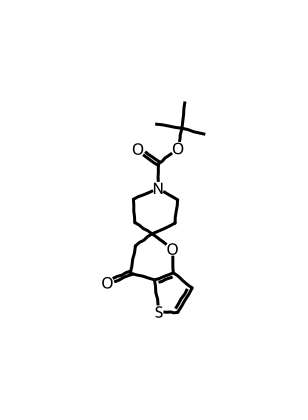 CC(C)(C)OC(=O)N1CCC2(CC1)CC(=O)c1sccc1O2